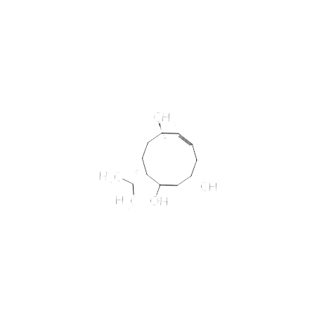 CC(C)[C@@H]1CC[C@@H](C)/C=C\C[C@H](C)CC1O